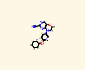 N#Cc1ncc2c(n1)N(c1ccc(OC3CCCCC3)nc1)CCO2